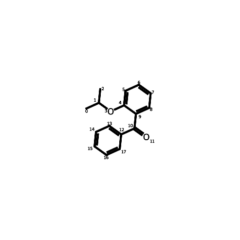 CC(C)Oc1ccccc1C(=O)c1ccccc1